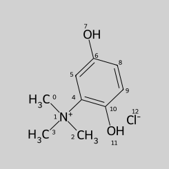 C[N+](C)(C)c1cc(O)ccc1O.[Cl-]